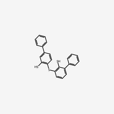 Sc1cc(-c2ccccc2)ccc1Sc1cccc(-c2ccccc2)c1S